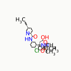 CC#Cc1ccc(C(=O)Nc2ccc(Cl)c([C@](C)(CC(=O)O)N[S@+]([O-])C(C)(C)C)c2)nc1